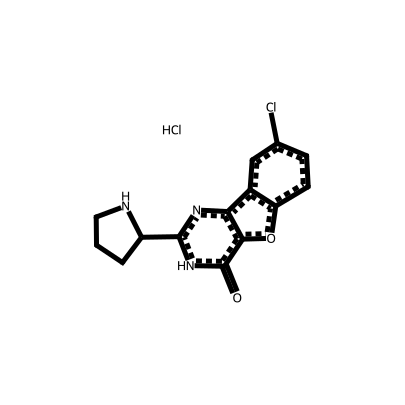 Cl.O=c1[nH]c(C2CCCN2)nc2c1oc1ccc(Cl)cc12